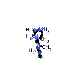 C=C1/N=C2\Nc3ccc(CN4CCN(C(=C)C5CCN(c6cc(F)cc(F)c6)C5)CC4CCC)cc3N2C[C@H](C)CCCC/C(NC)=C(/C=N)c2cc1cc(C)n2